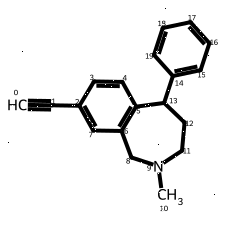 C#Cc1ccc2c(c1)CN(C)CCC2c1ccccc1